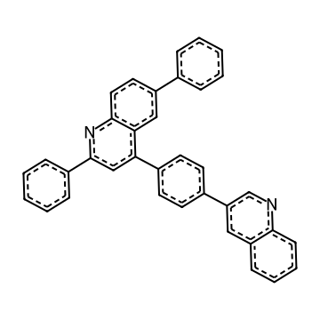 c1ccc(-c2ccc3nc(-c4ccccc4)cc(-c4ccc(-c5cnc6ccccc6c5)cc4)c3c2)cc1